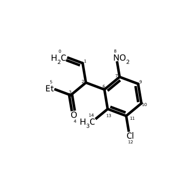 C=CC(C(=O)CC)c1c([N+](=O)[O-])ccc(Cl)c1C